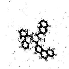 c1ccc2cc(C3=NC(c4nccc5oc6ccccc6c45)=NC(c4ccc5ccc6ccccc6c5c4)N3)ccc2c1